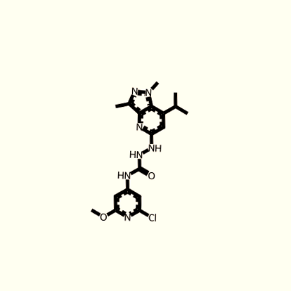 COc1cc(NC(=O)NNc2cc(C(C)C)c3c(n2)c(C)nn3C)cc(Cl)n1